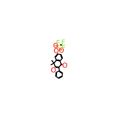 CC1(C)c2cc(OS(=O)(=O)C(F)(F)F)ccc2C(=O)c2c1oc1ccccc21